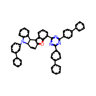 C1=CC2C(c3ccccc3N2c2cccc(-c3ccccc3)c2)c2c1oc1c(-c3nc(-c4ccc(-c5ccccc5)cc4)nc(-c4ccc(-c5ccccc5)cc4)n3)cccc21